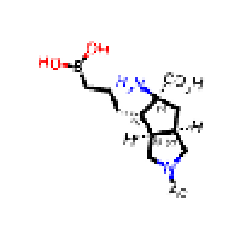 CC(=O)N1C[C@@H]2C[C@@](N)(C(=O)O)[C@@H](CCCB(O)O)[C@@H]2C1